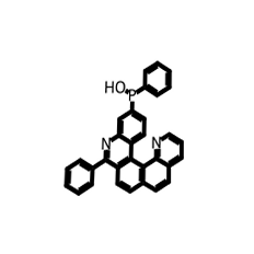 OP(c1ccccc1)c1ccc2c(c1)nc(-c1ccccc1)c1ccc3ccc4cccnc4c3c12